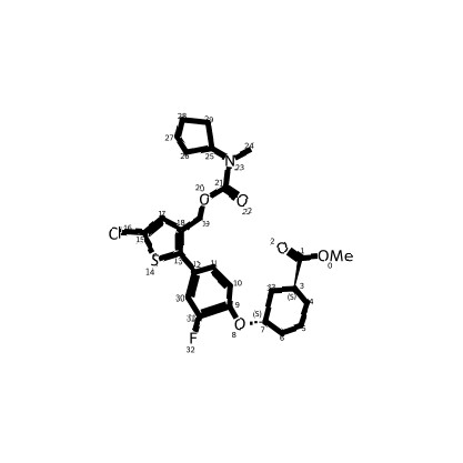 COC(=O)[C@H]1CCC[C@H](Oc2ccc(-c3sc(Cl)cc3COC(=O)N(C)C3CCCC3)cc2F)C1